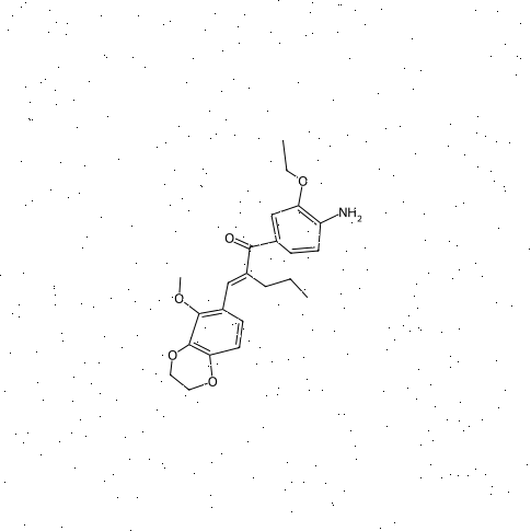 CCC/C(=C\c1ccc2c(c1OC)OCCO2)C(=O)c1ccc(N)c(OCC)c1